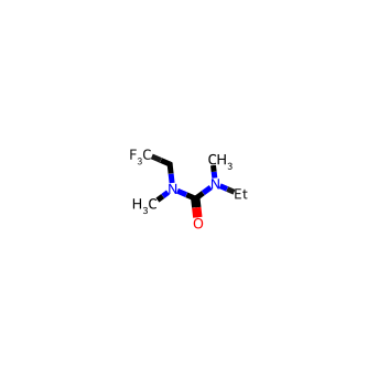 CCN(C)C(=O)N(C)CC(F)(F)F